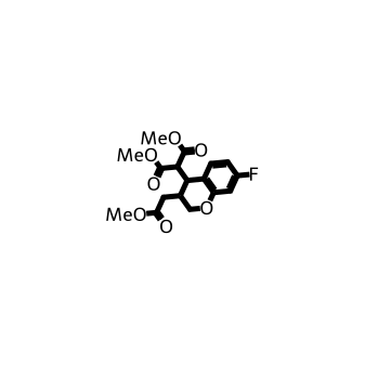 COC(=O)CC1COc2cc(F)ccc2C1C(C(=O)OC)C(=O)OC